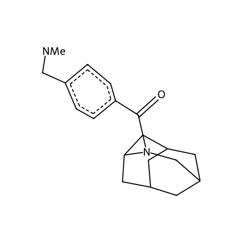 CNCc1ccc(C(=O)N2CC3CC4CC(C3)CC2C4)cc1